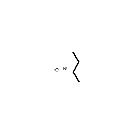 CCCC.[N].[O]